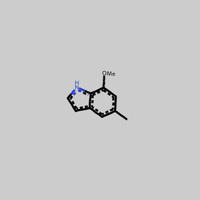 COc1cc(C)cc2cc[nH]c12